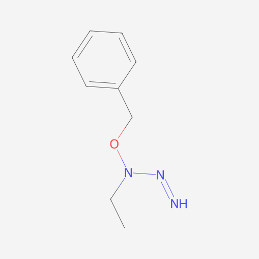 CCN(N=N)OCc1ccccc1